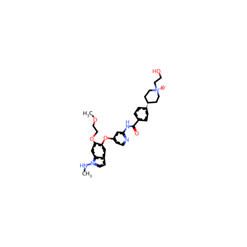 CNn1ccc2cc(Oc3ccnc(NC(=O)c4ccc([C@H]5CC[N@@+]([O-])(CCO)CC5)cc4)c3)c(OCCOC)cc21